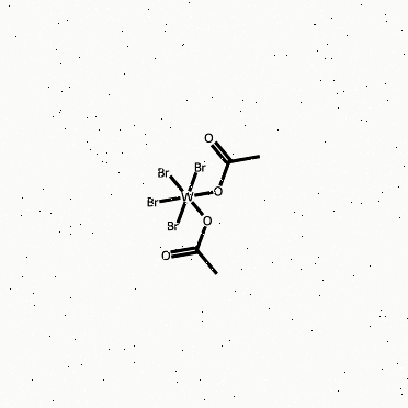 CC(=O)[O][W]([Br])([Br])([Br])([Br])[O]C(C)=O